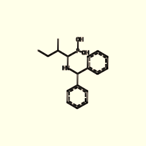 CCC(C)C(NC(c1ccccc1)c1ccccc1)P(O)O